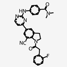 CN(C)C(=O)c1ccc(Nc2nccc(-c3cc(C#N)c4c(c3)CCN4C(=O)Cc3ccccc3F)n2)cc1